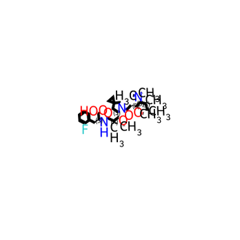 CC[C@H](C)[C@@H]([C@@H](CC(=O)N1CC2(CC2)C[C@H]1C(OC)[C@@H](C)C(=O)N[C@@H](Cc1ccccc1F)C(=O)O)OC)N(C)C